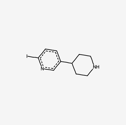 Ic1ccc(C2CCNCC2)cn1